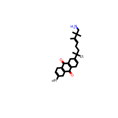 CCCC1=CCC2=C(C1)C(=O)C1=C(CC(C(C)(CC)CC/C=C(\C)C(C)(C)CN)=CC1)C2=O